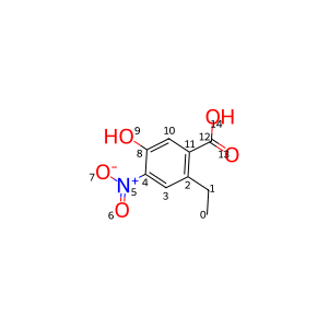 CCc1cc([N+](=O)[O-])c(O)cc1C(=O)O